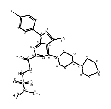 CC(C)c1nn(-c2ccc(F)cc2)c2nc(C(=O)ONS(=O)(=O)N(C)C)cc(N3CCC(N4CCOCC4)CC3)c12